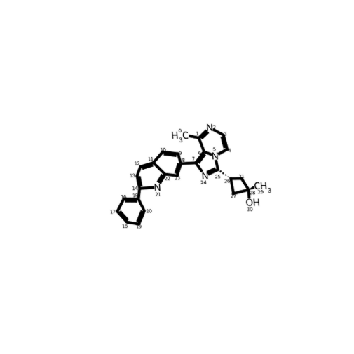 Cc1nccn2c1c(-c1ccc3ccc(-c4ccccc4)nc3c1)nc2[C@H]1C[C@@](C)(O)C1